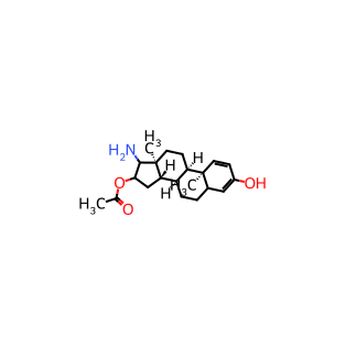 CC(=O)OC1C[C@H]2[C@@H]3CCC4C=C(O)C=C[C@]4(C)[C@@H]3CC[C@]2(C)C1N